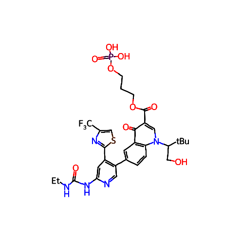 CCNC(=O)Nc1cc(-c2nc(C(F)(F)F)cs2)c(-c2ccc3c(c2)c(=O)c(C(=O)OCCCOP(=O)(O)O)cn3C(CO)C(C)(C)C)cn1